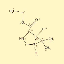 CCOC(=O)[C@H]1NC[C@H]2[C@@H]1C2(C)C